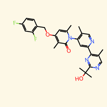 Cc1cnc(-c2nc(C(C)(C)O)ncc2C)cc1-n1c(C)cc(OCc2ccc(F)cc2F)c(C)c1=O